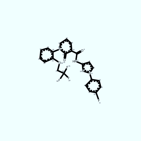 O=C(Nc1ccn(-c2ccc(F)cc2)n1)c1cccn(-c2ccccc2OCC(F)(F)F)c1=O